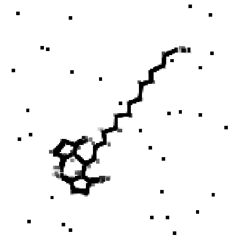 CCCCCCCCCCCCCCCCCCCCCCCCC(N1C(=O)C=CC1=O)N1C(=O)C=CC1=O